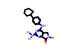 CCN(CC)c1nc(Nc2ccc(C3CCCCC3)cc2)c2c(n1)C(=O)N(C(C)C)C2